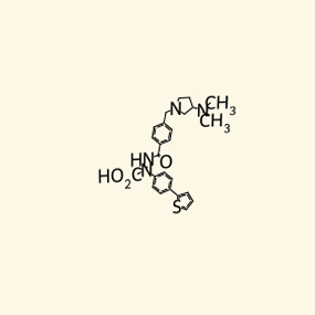 CN(C)C1CCN(Cc2ccc(C(=O)NN(C(=O)O)c3ccc(-c4cccs4)cc3)cc2)C1